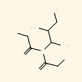 CCCCCCCCCCCC(=O)P(C(=O)CCCCCCCCCCC)C(O)C(O)CO